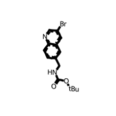 CC(C)(C)OC(=O)NCc1ccc2ncc(Br)cc2c1